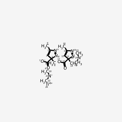 CC1=CC(C)(C(=O)[O-])N=N1.CC1=CC(C)(C(=O)[O-])N=N1.C[N-]C.C[N-]C.[Ti+4]